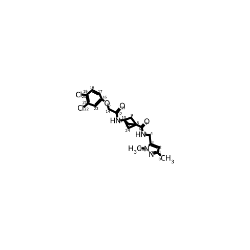 Cc1cc(CNC(=O)C23CC(NC(=O)COc4ccc(Cl)c(Cl)c4)(C2)C3)n(C)n1